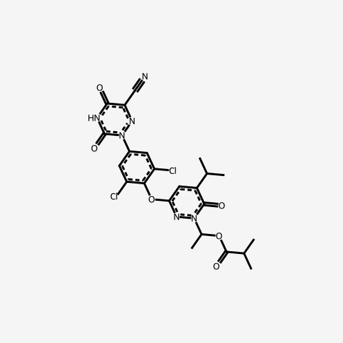 CC(C)C(=O)OC(C)n1nc(Oc2c(Cl)cc(-n3nc(C#N)c(=O)[nH]c3=O)cc2Cl)cc(C(C)C)c1=O